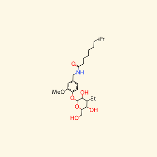 CCC1C(O)C(CO)OC(Oc2ccc(CNC(=O)CCCCCCC(C)C)cc2OC)C1O